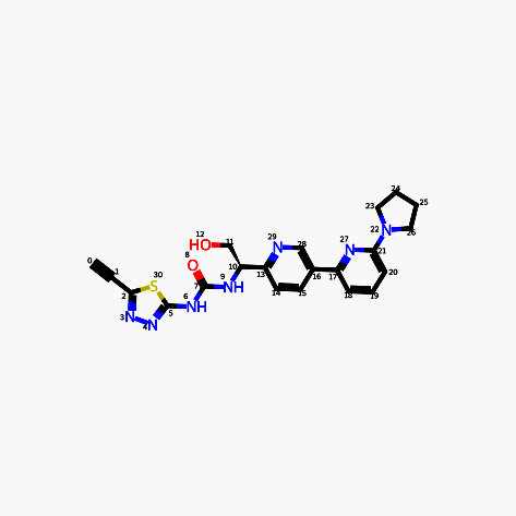 C#Cc1nnc(NC(=O)N[C@@H](CO)c2ccc(-c3cccc(N4CCCC4)n3)cn2)s1